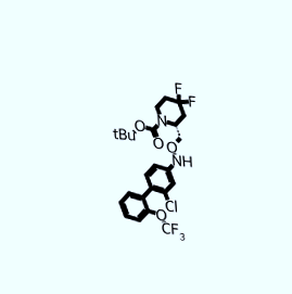 CC(C)(C)OC(=O)N1CCC(F)(F)C[C@@H]1CONc1ccc(-c2ccccc2OC(F)(F)F)c(Cl)c1